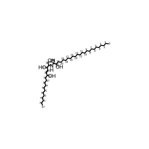 CCCCCCCCCCCCCCCCCCCCCCC(O)C(=O)NC(CO)C(O)/C=C/C(O)CCCCCCCCCCCC